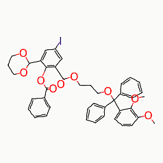 COc1cccc(C(OCCCOC(=O)c2cc(I)cc(C3OCCCO3)c2OC(=O)c2ccccc2)(c2ccccc2)c2ccccc2)c1OC